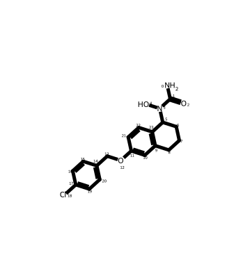 NC(=O)N(O)C1CCCc2cc(OCc3ccc(Cl)cc3)ccc21